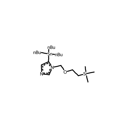 CCC[CH2][Sn]([CH2]CCC)([CH2]CCC)[c]1cncn1COCC[Si](C)(C)C